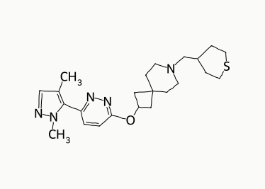 Cc1cnn(C)c1-c1ccc(OC2CC3(CCN(CC4CCSCC4)CC3)C2)nn1